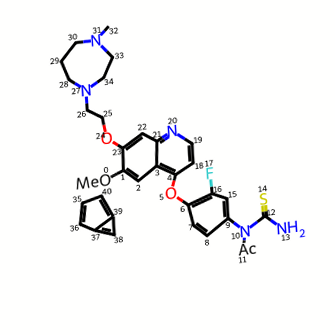 COc1cc2c(Oc3ccc(N(C(C)=O)C(N)=S)cc3F)ccnc2cc1OCCN1CCCN(C)CC1.c1cc2cc-2c1